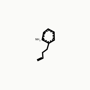 C=CCCc1ccccc1.N